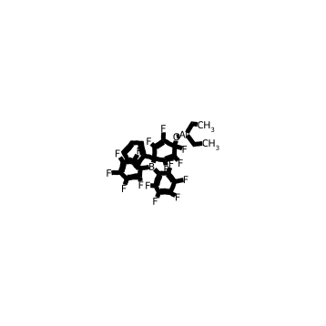 C[CH2][Al]([CH2]C)[O]C1(F)C(F)=C(F)C(B(c2c(F)c(F)c(F)c(F)c2F)c2c(F)c(F)c(F)c(F)c2F)(c2ccccc2)C(F)=C1F